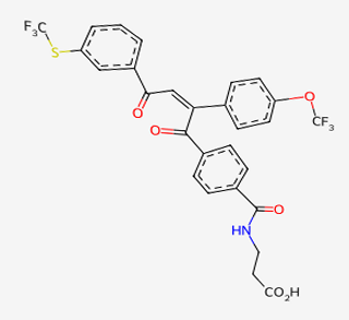 O=C(O)CCNC(=O)c1ccc(C(=O)/C(=C\C(=O)c2cccc(SC(F)(F)F)c2)c2ccc(OC(F)(F)F)cc2)cc1